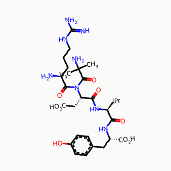 CC(C)[C@H](NC(=O)[C@H](CC(=O)O)N(C(=O)[C@@H](N)CCCNC(=N)N)C(=O)C(C)(C)N)C(=O)N[C@@H](Cc1ccc(O)cc1)C(=O)O